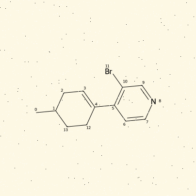 CC1CC=C(c2ccncc2Br)CC1